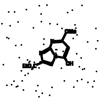 CCOC(=O)c1cn2c(O)cc(OC)nc2n1